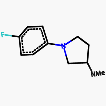 CNC1CCN(c2ccc(F)cc2)C1